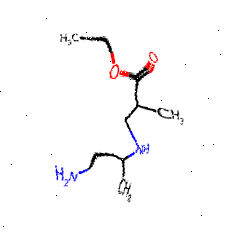 CCOC(=O)C(C)CNC(C)CN